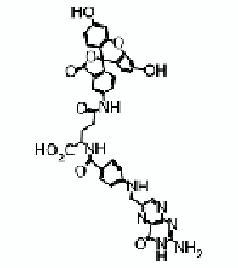 Nc1nc2ncc(CNc3ccc(C(=O)NC(CCC(=O)Nc4ccc5c(c4)C(=O)OC54c5ccc(O)cc5Oc5cc(O)ccc54)C(=O)O)cc3)nc2c(=O)[nH]1